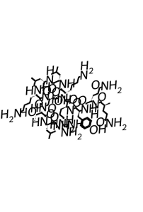 CC(C)C[C@H](NC(=O)[C@@H](NC(=O)[C@H](CO)NC(=O)[C@H](CCCCN)NC(=O)[C@H](CC(C)C)NC(=O)[C@H](CC(C)C)NC(=O)[C@H](CCCCN)NC(=O)[C@H](CCCNC(=N)N)NC(=O)[C@H](Cc1ccc(O)cc1)NC(=O)[C@H](CCC(N)=O)NC(=O)[C@@H](C)CCC(N)=O)[C@H](C)O)C(N)=O